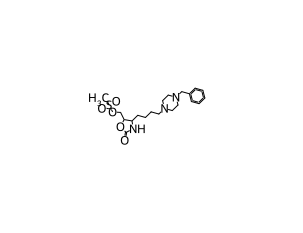 CS(=O)(=O)OCC1OC(=O)NC1CCCCN1CCN(Cc2ccccc2)CC1